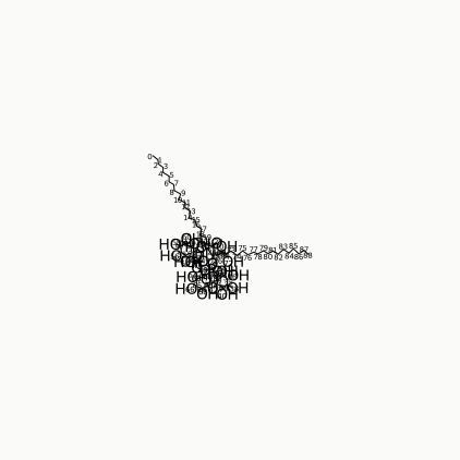 CCCCCCCCCCCCCCCCCCCCC(O)C(=O)N[C@@H](COP(=O)(O)O[C@H]1C(O)C(O)C(O)[C@@H](O)C1O[C@H]1O[C@H](COP(=O)(O)OC2C(O)C(O)C(O)[C@@H](O)C2O)[C@@H](O)C(O)C1O)[C@H](O)[C@H](O)CCCCCCCCCCCCCCCC